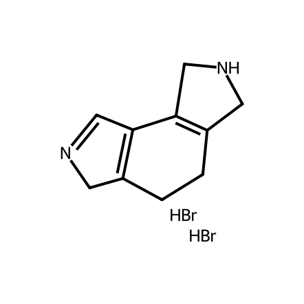 Br.Br.C1=NCC2=C1C1=C(CC2)CNC1